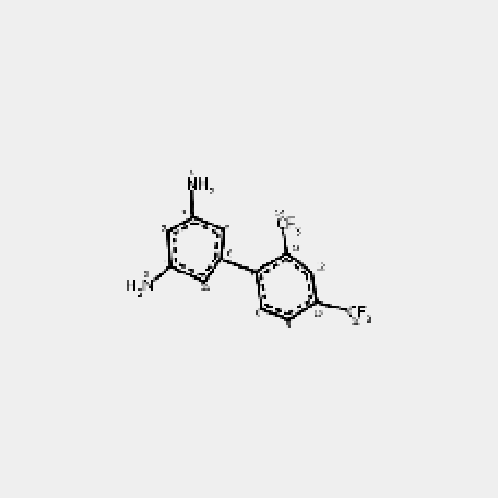 Nc1cc(N)cc(-c2ccc(C(F)(F)F)cc2C(F)(F)F)c1